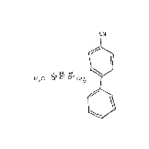 N#Cc1ccc(-c2ccccc2)cc1.O.O.O.O.O